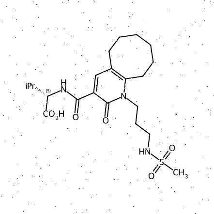 CC(C)[C@H](NC(=O)c1cc2c(n(CCCNS(C)(=O)=O)c1=O)CCCCCC2)C(=O)O